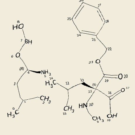 CC(C)C[C@H](N)OBO.CN[C@@](CC(C)C)(C(=O)O)C(=O)OCc1ccccc1